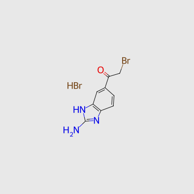 Br.Nc1nc2ccc(C(=O)CBr)cc2[nH]1